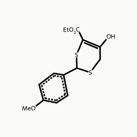 CCOC(=O)C1=C(O)CSC(c2ccc(OC)cc2)S1